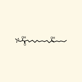 CCCCC/C=C(\O)CCCCCCCCCCC(=O)C(O)C[N+](C)(C)C